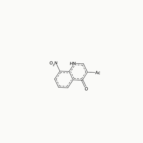 CC(=O)c1c[nH]c2c([N+](=O)[O-])cccc2c1=O